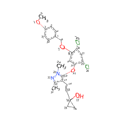 COc1ccc(COc2cc(Oc3c(C=CC4(O)CC4)c(C)nn3C)c(Cl)cc2Cl)cc1